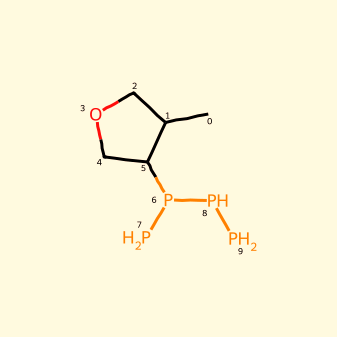 CC1COCC1P(P)PP